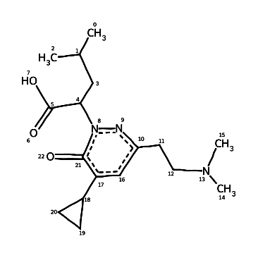 CC(C)CC(C(=O)O)n1nc(CCN(C)C)cc(C2CC2)c1=O